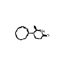 C=C1NC(=O)CCC1C1CCCCCCC1